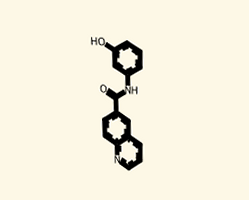 O=C(Nc1cccc(O)c1)c1ccc2ncccc2c1